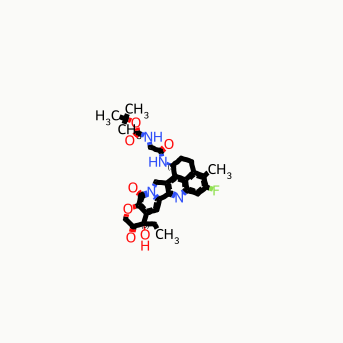 CC[C@@]1(O)C(=O)COc2c1cc1n(c2=O)Cc2c-1nc1cc(F)c(C)c3c1c2[C@@H](NC(=O)CNC(=O)OC(C)(C)C)CC3